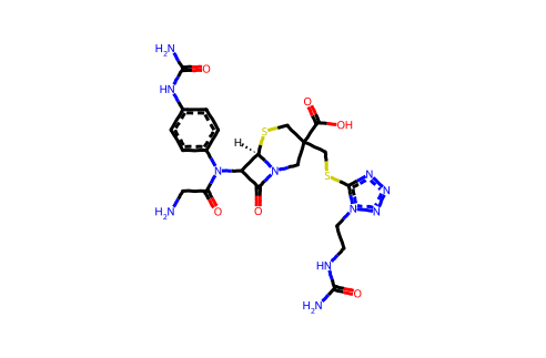 NCC(=O)N(c1ccc(NC(N)=O)cc1)C1C(=O)N2CC(CSc3nnnn3CCNC(N)=O)(C(=O)O)CS[C@H]12